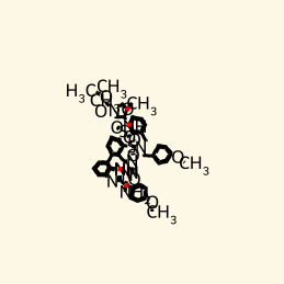 COc1ccc(CN(Cc2ccc(OC)cc2)S(=O)(=O)c2c(S(=O)(=O)NC3CCN(C(=O)OC(C)(C)C)C3)ccc(-c3cccc4nc(C(N)=O)[nH]c34)c2-c2nnn(Cc3ccc(OC)cc3)n2)cc1